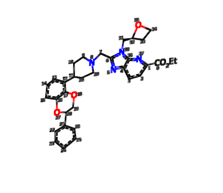 CCOC(=O)c1ccc2nc(CN3CCC(c4cccc5c4OCC(c4ccccc4)O5)CC3)n(C[C@@H]3CCO3)c2n1